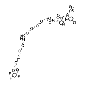 CC(C)(CCOCCOCCOCCOCc1cn(CCOCCOCCOCCOCCC(=O)Oc2c(F)c(F)cc(F)c2F)nn1)OC(=O)N1CCC2(CC1)C(=O)N(Cc1nc3cc(Cl)ccc3n1CCCS(C)(=O)=O)c1cnccc12